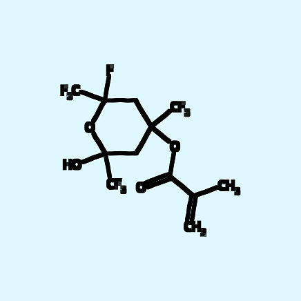 C=C(C)C(=O)OC1(C(F)(F)F)CC(O)(C(F)(F)F)OC(F)(C(F)(F)F)C1